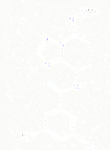 CO/N=C(\C)n1ncnc1C(C)NC(=O)c1cc(C(F)(F)F)cc(C(F)(F)F)c1